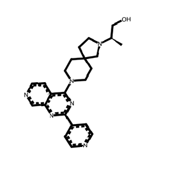 C[C@H](CO)N1CCC2(CCN(c3nc(-c4ccncc4)nc4cnccc34)CC2)C1